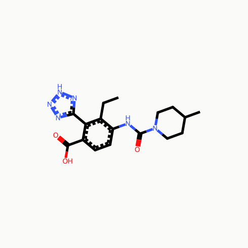 CCc1c(NC(=O)N2CCC(C)CC2)ccc(C(=O)O)c1-c1nn[nH]n1